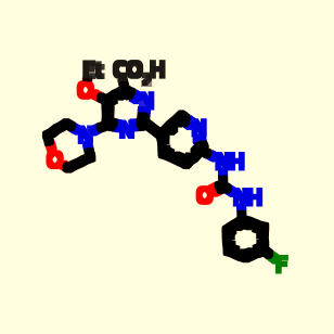 CCOc1c(C(=O)O)nc(-c2ccc(NC(=O)Nc3cccc(F)c3)nc2)nc1N1CCOCC1